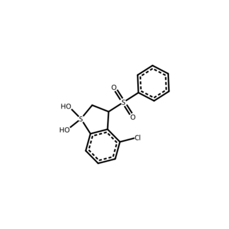 O=S(=O)(c1ccccc1)C1CS(O)(O)c2cccc(Cl)c21